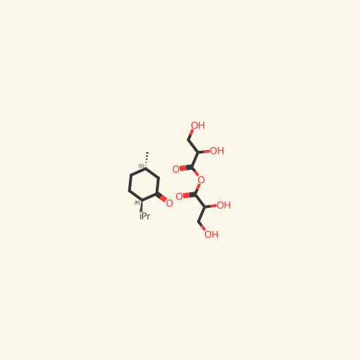 CC(C)[C@H]1CC[C@H](C)CC1=O.O=C(OC(=O)C(O)CO)C(O)CO